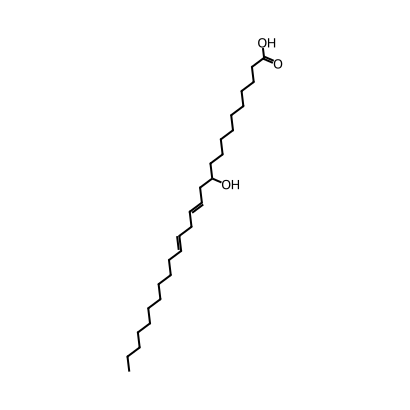 CCCCCCCCCCC=CCC=CCC(O)CCCCCCCCCC(=O)O